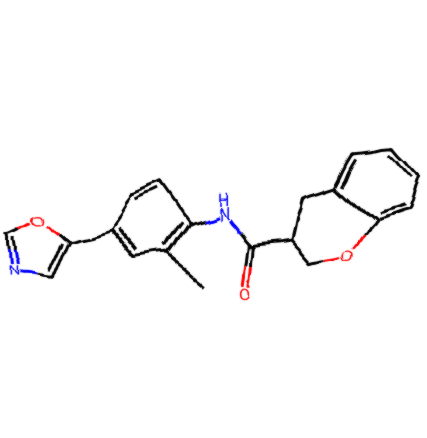 Cc1cc(-c2cnco2)ccc1NC(=O)C1COc2ccccc2C1